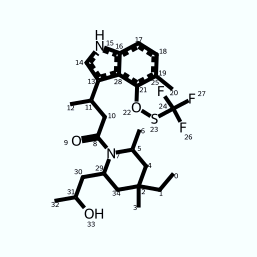 CCC1(C)CC(C)N(C(=O)CC(C)c2c[nH]c3ccc(C)c(OSC(F)(F)F)c23)C(CC(C)O)C1